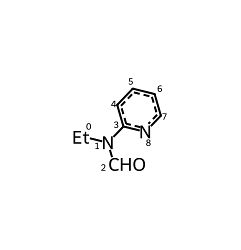 CCN(C=O)c1ccccn1